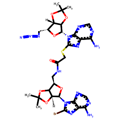 CC1(C)OC2[C@@H](O1)[C@@H](CN=[N+]=[N-])O[C@H]2n1c(SCC(=O)NC[C@H]2O[C@@H](n3c(Br)nc4c(N)ncnc43)[C@H]3OC(C)(C)OC23)nc2c(N)ncnc21